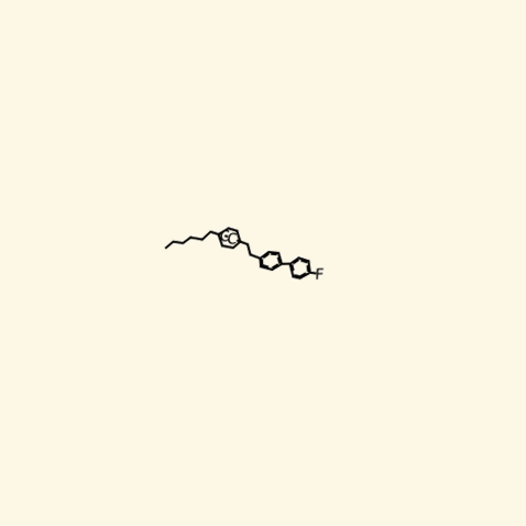 CCCCCCC12CCC(CCc3ccc(-c4ccc(F)cc4)cc3)(CC1)CC2